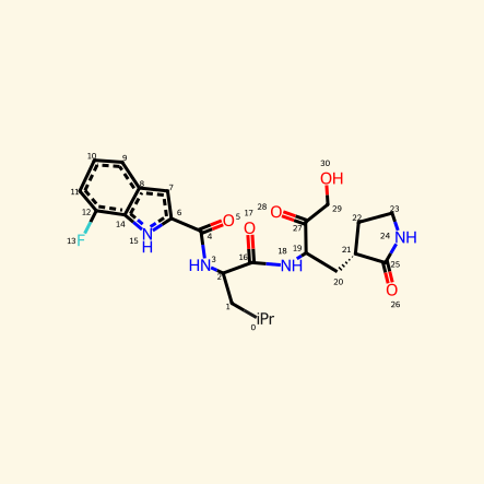 CC(C)CC(NC(=O)c1cc2cccc(F)c2[nH]1)C(=O)NC(C[C@@H]1CCNC1=O)C(=O)CO